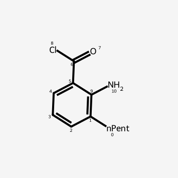 CCCCCc1cccc(C(=O)Cl)c1N